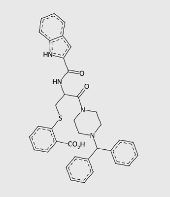 O=C(NC(CSc1ccccc1C(=O)O)C(=O)N1CCN(C(c2ccccc2)c2ccccc2)CC1)c1cc2ccccc2[nH]1